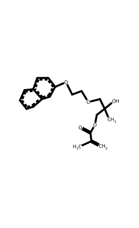 C=C(C)C(=O)OCC(C)(O)COCCOc1ccc2ccccc2c1